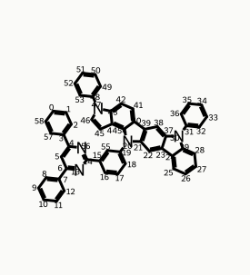 c1ccc(-c2cc(-c3ccccc3)nc(-c3cccc(-n4c5cc6c7ccccc7n(-c7ccccc7)c6cc5c5ccc6c(ccn6-c6ccccc6)c54)c3)n2)cc1